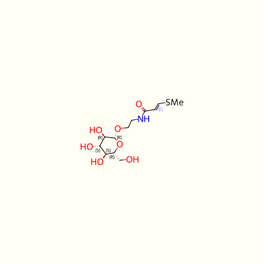 CS/C=C/C(=O)NCCO[C@@H]1O[C@H](CO)[C@@H](O)[C@H](O)[C@H]1O